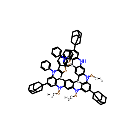 CSN1c2cc3c(cc2B2c4cc5c(cc4N(SC)c4cc(C67CC8CC(CC(C8)C6)C7)cc1c42)N(SC)c1cc(C24CC6CC(CC(C6)C2)C4)cc2c1B5c1sc4ccccc4c1N2c1ccccc1)B1c2sc4ccccc4c2N(c2ccccc2)c2cc(C45CC6CC(CC(C6)C4)C5)cc(c21)N3